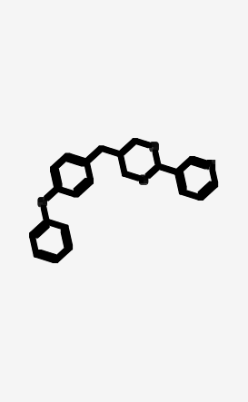 c1ccc(Oc2ccc(CC3COC(c4cccnc4)OC3)cc2)cc1